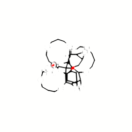 CCC(C12CCC3OC3C1OCCCOCCOC2)(C12CCC3OC3C1OCCCOCCOC2)C12CCC3OC3C1OCCCOCCOC2